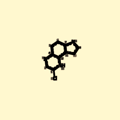 Clc1cnc2ccc3nccc3c2[nH]1